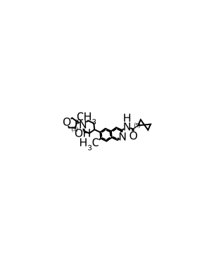 Cc1cc2cnc(NC(=O)[C@H]3CC34CC4)cc2cc1C1CCN([C@@]2(C)COC[C@H]2O)CC1